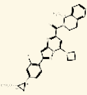 CCOC(=O)[C@H]1C[C@@H]1c1ccc(-c2cc3nc(C(=O)N4CCc5ccccc5[C@H]4C)cc(N4CCC4)n3n2)c(F)c1